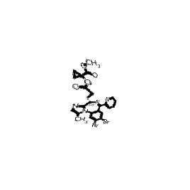 COC(=O)C1(OC(=O)CC[C@@H]2N=C(c3ccccn3)c3cc(Br)c(Br)cc3-n3c(C)cnc32)CC1